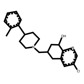 Cc1ccccc1C1CCN(CC2Cc3cc(Cl)cnc3C(O)C2)CC1